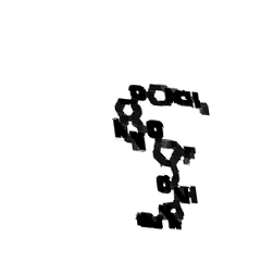 CN1CCC(Oc2ccc3ncnc(Oc4ccc(CC(=O)Nc5cnn(C(C)(C)C)c5)c(F)c4)c3c2)CC1